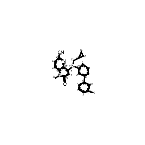 Cc1cccc(-c2cccc(N(CC3CC3)c3cc(=O)n(C)c4ccc(C#N)nc34)c2)c1